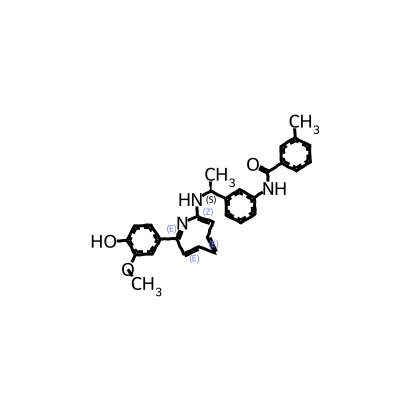 COc1cc(C2=N/C(N[C@@H](C)c3cccc(NC(=O)c4cccc(C)c4)c3)=C\C=C\C=C\2)ccc1O